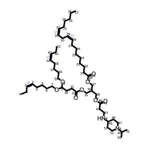 CC/C=C\CCCCOC(CCC(=O)OCC(COC(=O)CCCCCCC/C=C\C/C=C\CCCCC)COC(=O)CCNC1CCN(C(C)C)CC1)OCCCC/C=C\CC